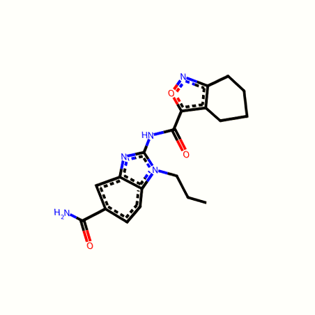 CCCn1c(NC(=O)c2onc3c2CCCC3)nc2cc(C(N)=O)ccc21